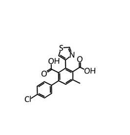 Cc1cc(-c2ccc(Cl)cc2)c(C(=O)O)c(-c2cscn2)c1C(=O)O